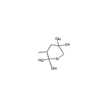 CC1CS(O)(O)COS1(O)O